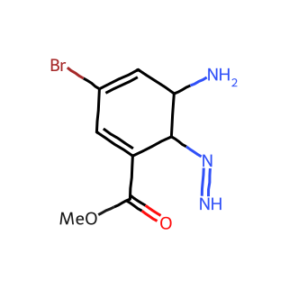 COC(=O)C1=CC(Br)=CC(N)C1N=N